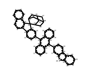 c1ccc2c3c(ccc2c1)-c1ccc(-c2c4ccccc4c(-c4ccc5c(c4)sc4ccccc45)c4ccccc24)cc1C31C2CC3CC(C2)CC1C3